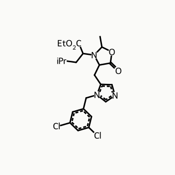 CCOC(=O)C(CC(C)C)N1C(C)OC(=O)C1Cc1cncn1Cc1cc(Cl)cc(Cl)c1